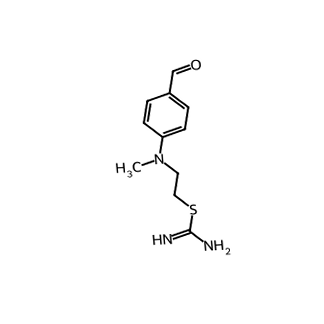 CN(CCSC(=N)N)c1ccc(C=O)cc1